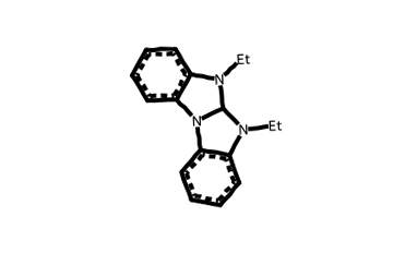 CCN1c2ccccc2N2c3ccccc3N(CC)C12